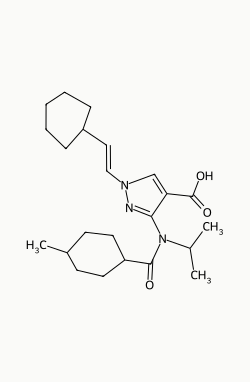 CC1CCC(C(=O)N(c2nn(C=CC3CCCCC3)cc2C(=O)O)C(C)C)CC1